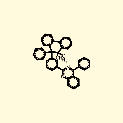 CC1(C)c2ccccc2-c2ccccc2C1(c1ccccc1)c1cccc(-c2nc(-c3ccccc3)c3ccccc3n2)c1